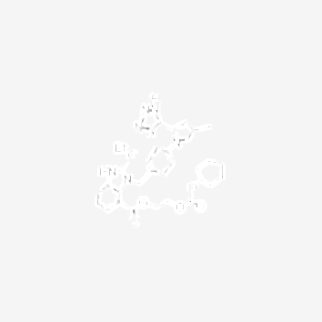 CCOC1Nc2cccc(C(=O)OCCOC(=O)OC3CCCCC3)c2N1Cc1ccc(-n2cc(C)cc2-c2nnn[nH]2)cc1